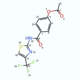 CC(=O)Oc1ccc(C(=O)Nc2nc(C(F)(F)F)cs2)cc1